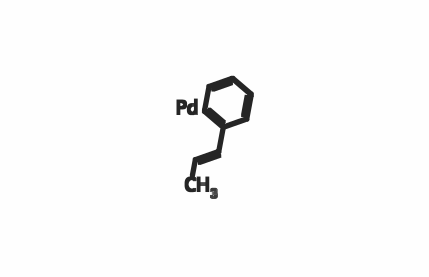 CC=Cc1ccccc1.[Pd]